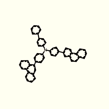 c1ccc(-c2ccc(N(c3ccc(-c4ccc5c(ccc6ccccc65)c4)cc3)c3ccc(-c4cc5ccccc5c5ccccc45)cc3)cc2)cc1